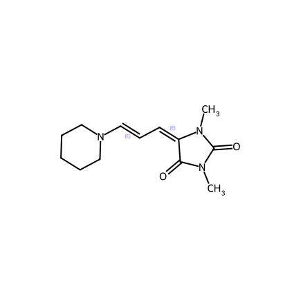 CN1C(=O)/C(=C\C=C\N2CCCCC2)N(C)C1=O